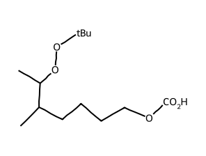 CC(CCCCOC(=O)O)C(C)OOC(C)(C)C